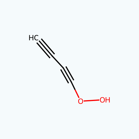 C#CC#COO